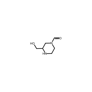 O=CN1CCNC(CO)C1